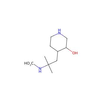 CC(C)(CC1CCNCC1O)NC(=O)O